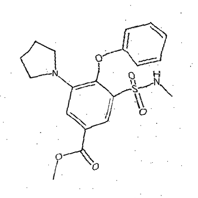 CNS(=O)(=O)c1cc(C(=O)OC)cc(N2CCCC2)c1Oc1ccccc1